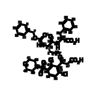 CC(C)C[C@H](NC(=O)OCc1ccccc1)C(=O)N[C@@H](Cc1ccccc1)C(=O)O.O=C(O)CC(=O)c1c(Cl)ccc(S(=O)(=O)N2CCOCC2)c1Cl